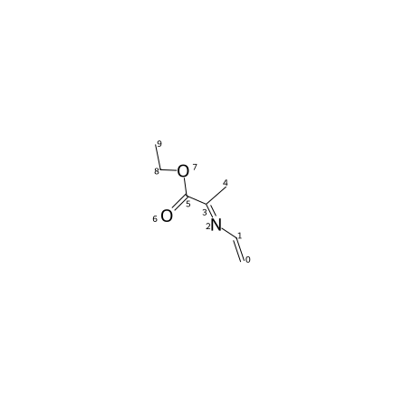 C=C/N=C(\C)C(=O)OCC